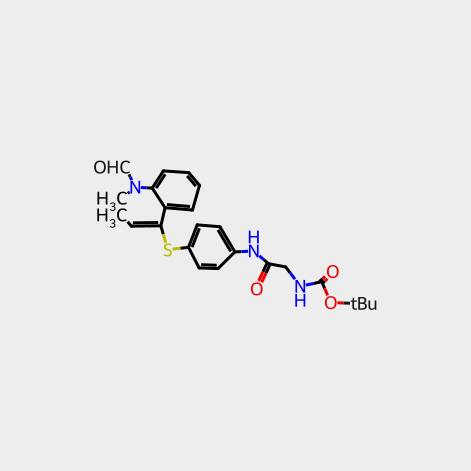 C/C=C(/Sc1ccc(NC(=O)CNC(=O)OC(C)(C)C)cc1)c1ccccc1N(C)C=O